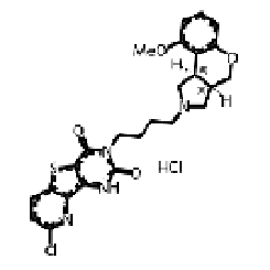 COc1cccc2c1[C@@H]1CN(CCCCn3c(=O)[nH]c4c(sc5ccc(Cl)nc54)c3=O)C[C@@H]1CO2.Cl